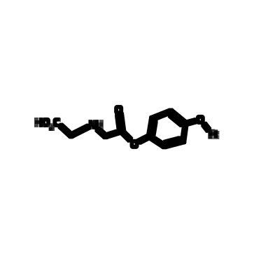 CCOc1ccc(OC(=O)CNCC(=O)O)cc1